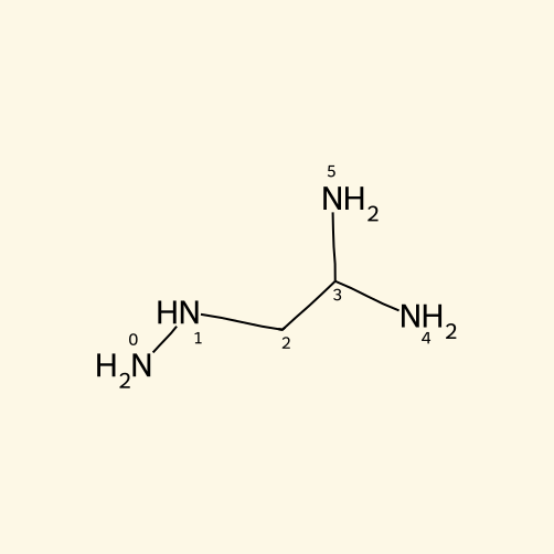 NNCC(N)N